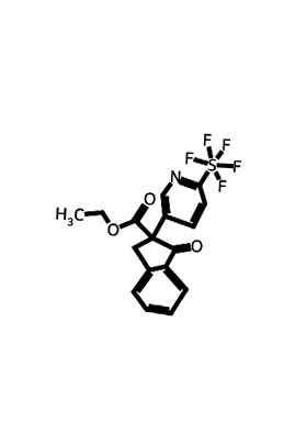 CCOC(=O)C1(c2ccc(S(F)(F)(F)(F)F)nc2)Cc2ccccc2C1=O